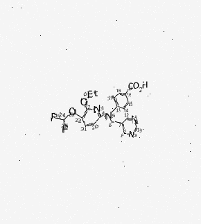 CCOc1nc(N(Cc2cncnc2)c2ccc(C(=O)O)cc2)ccc1OC(F)F